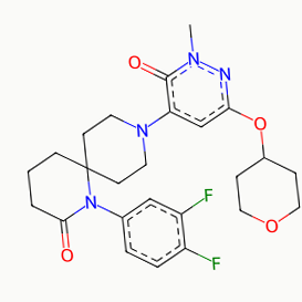 Cn1nc(OC2CCOCC2)cc(N2CCC3(CCCC(=O)N3c3ccc(F)c(F)c3)CC2)c1=O